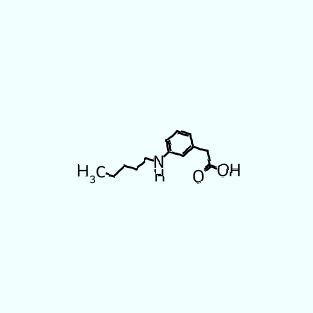 CCCCCNc1cccc(CC(=O)O)c1